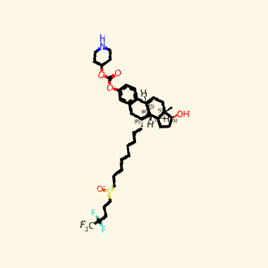 C[C@]12CC[C@@H]3c4ccc(OC(=O)OC5CCNCC5)cc4C[C@@H](CCCCCCCCC[S+]([O-])CCCC(F)(F)C(F)(F)F)[C@H]3[C@@H]1CC[C@@H]2O